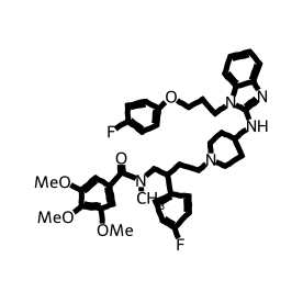 COc1cc(C(=O)N(C)CC(CCN2CCC(Nc3nc4ccccc4n3CCCOc3ccc(F)cc3)CC2)c2ccc(F)cc2)cc(OC)c1OC